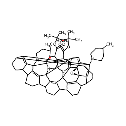 CC1CCN(C23C4=C5C6(N7CCC(C)CC7)C7=C2C2CCC7C7CCC8C(=C76)[C@@]67O[C@@]56C5=C4C4(N6CCC(C(=O)OC(C)(C)C)CC6)C6=C3C2CCC6C2CCC3C(=C24)C5(N2CCC(C(=O)OC(C)(C)C)CC2)C2=C7C8CCC23)CC1